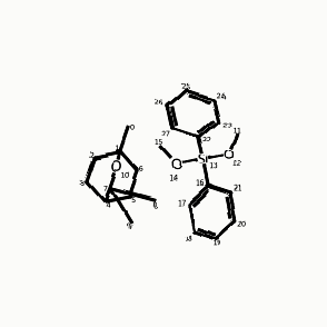 CC12CCC(CC1)C(C)(C)O2.CO[Si](OC)(c1ccccc1)c1ccccc1